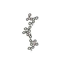 c1ccc(-n2c3ccccc3c3cc4c5c(ccc6sc7c(-c8ccc9c%10ccc%11c%12c(ccc%13c%14cc(-c%15ccc%16c%17ccc%18c%19c(ccc%20sc%21ccccc%21c%20%19)c%19c%20ccccc%20cn%19c%18c%17n(-c%17ccccc%17)c%16c%15)ccc%14sc%13%12)c%12c%13ccccc%13cn%12c%11c%10n(-c%10ccccc%10)c9c8)cccc7c65)c5c6ccccc6cn5c4cc32)cc1